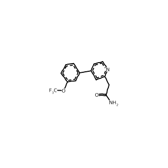 NC(=O)Cc1cc(-c2cccc(OC(F)(F)F)c2)ccn1